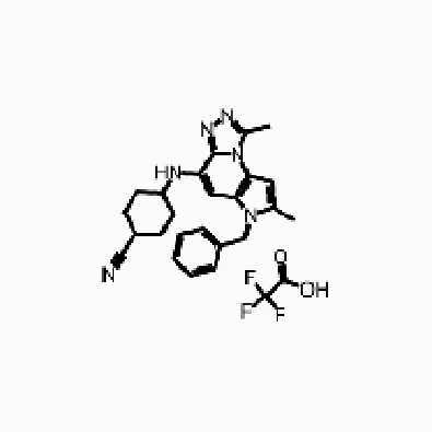 Cc1cc2c(cc(NC3CCC(C#N)CC3)c3nnc(C)n32)n1Cc1ccccc1.O=C(O)C(F)(F)F